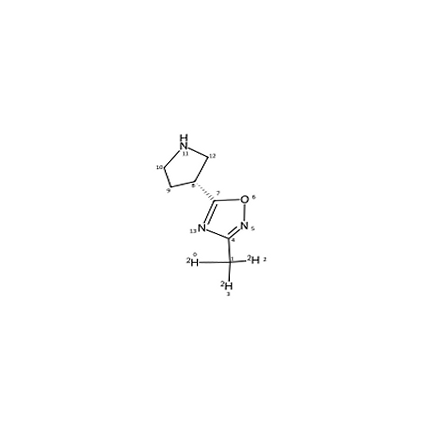 [2H]C([2H])([2H])c1noc([C@@H]2CCNC2)n1